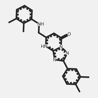 Cc1ccc(-c2nc3[nH]c(CNc4cccc(C)c4C)cc(=O)n3n2)cc1C